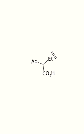 C=C.CCC(C(C)=O)C(=O)O